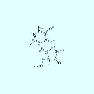 COCC1(C)C(=O)N(C)c2cc3c(=O)[nH]nc(C)c3cc21